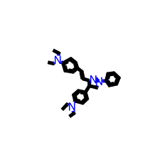 CCN(CC)c1ccc(C=CC2=NN(c3ccccc3)CC2c2ccc(N(CC)CC)cc2)cc1